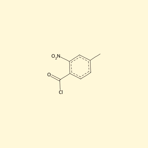 Cc1ccc(C(=O)Cl)c([N+](=O)[O-])c1